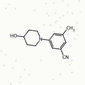 Cc1cc(C#N)cc(N2CCC(O)CC2)c1